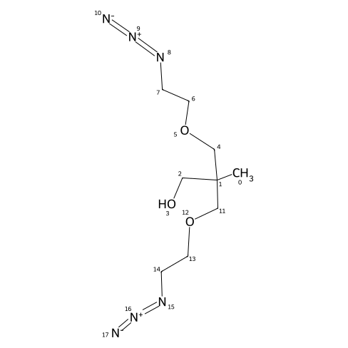 CC(CO)(COCCN=[N+]=[N-])COCCN=[N+]=[N-]